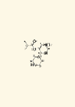 CC(C)C(=O)Oc1cccnc1N1CCNCC1.Cl